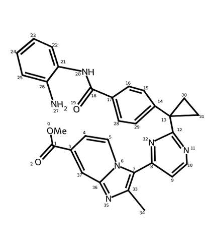 COC(=O)c1ccn2c(-c3ccnc(C4(c5ccc(C(=O)Nc6ccccc6N)cc5)CC4)n3)c(C)nc2c1